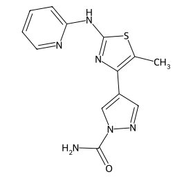 Cc1sc(Nc2ccccn2)nc1-c1cnn(C(N)=O)c1